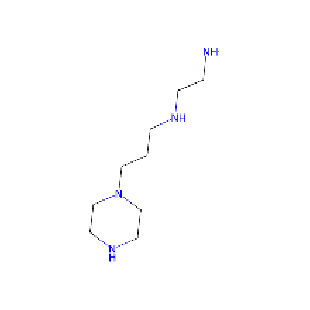 [NH]CCNCCCN1CCNCC1